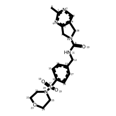 Cc1ncc2c(n1)CN(C(=O)NCc1ccc(S(=O)(=O)N3CCOCC3)cc1)C2